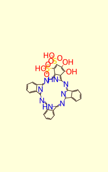 O=S(=O)(O)c1c(O)c(O)c2c3nc4nc(nc5[nH]c(nc6nc(nc([nH]3)c2c1S(=O)(=O)O)-c1ccccc1-6)c1ccccc51)-c1ccccc1-4